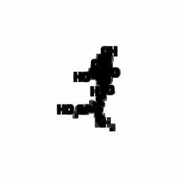 C[N+](CCCN)(CCCNC(=O)c1ccc2c(c1)C(=O)OC21c2ccc(O)cc2Oc2cc(O)ccc21)CCCS(=O)(=O)O